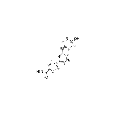 NC(=O)c1ccc(-c2cncc(NC3CCC(O)CC3)n2)cc1